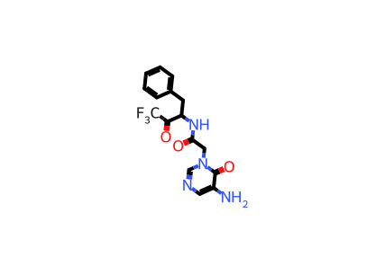 Nc1cncn(CC(=O)NC(Cc2ccccc2)C(=O)C(F)(F)F)c1=O